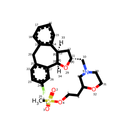 CS(=O)(=O)OCCC1CN(C[C@H]2C[C@@H]3c4ccccc4Cc4ccc(F)cc4[C@@H]3O2)CCO1